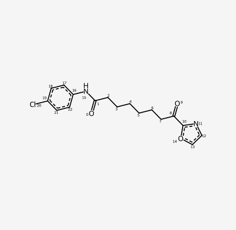 O=C(CCCCCCC(=O)c1ncco1)Nc1ccc(Cl)cc1